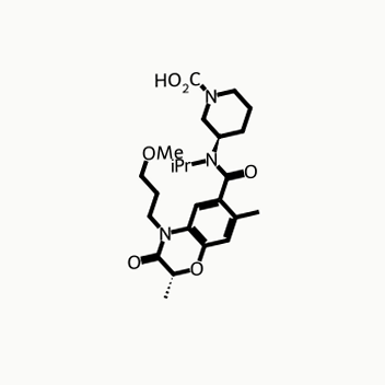 COCCCN1C(=O)[C@@H](C)Oc2cc(C)c(C(=O)N(C(C)C)[C@@H]3CCCN(C(=O)O)C3)cc21